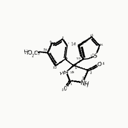 O=C1NC(=O)C(c2cccc(C(=O)O)c2)(c2cccs2)N1